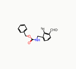 [2H]c1c([C]=O)cccc1CNC(=O)OCc1ccccc1